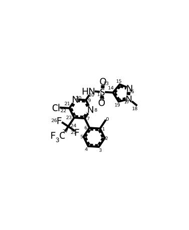 Cc1ccccc1-c1nc(NS(=O)(=O)c2cnn(C)c2)nc(Cl)c1C(F)(F)C(F)(F)F